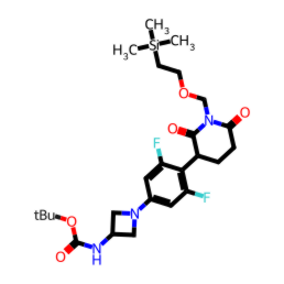 CC(C)(C)OC(=O)NC1CN(c2cc(F)c(C3CCC(=O)N(COCC[Si](C)(C)C)C3=O)c(F)c2)C1